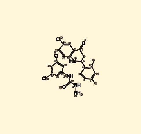 Cc1ccc(C2CC(=O)c3cc(Cl)ccc3N2)c(C)c1.NNC(=O)Nc1cc(Cl)cc(Cl)c1